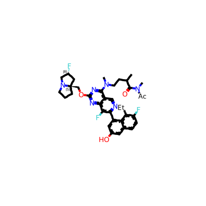 CCc1c(F)ccc2cc(O)cc(-c3ncc4c(N(C)CCC(C)C(=O)N(C)C(C)=O)nc(OC[C@@]56CCCN5C[C@H](F)C6)nc4c3F)c12